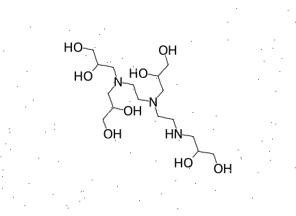 OCC(O)CNCCN(CCN(CC(O)CO)CC(O)CO)CC(O)CO